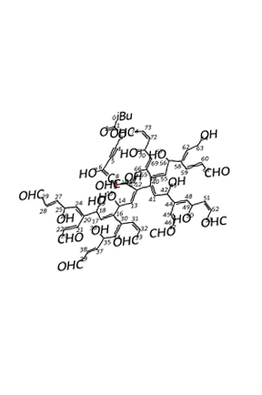 CCC(C)C(=O)OC#CC(O)=C=CC(O)C(=C\C(O)C(=C\C(O)C(/C=C/C=O)=C/C(O)/C=C/C=O)/C(/C=C\C=O)=C\C(O)/C=C/C=O)/C(=C/C(O)C(/C=C/C=O)=C/C(O)/C=C\C=O)C(=C/C(O)C(/C=C/C=O)=C/CO)/C(/C=C/C=O)=C/C(O)/C=C\C=O